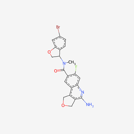 CN(C(=O)c1cc2c3c(c(N)nc2cc1F)COC3)C1COc2cc(Br)ccc21